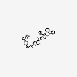 Cc1cc(OCC[C@@H](C)C2CCN(C(=O)OC(C)(C)C)CC2)ccc1C(=O)N[C@H]1C[C@@H](C(=O)N2CCCC2)N(C(=O)OCC2c3ccccc3-c3ccccc32)C1